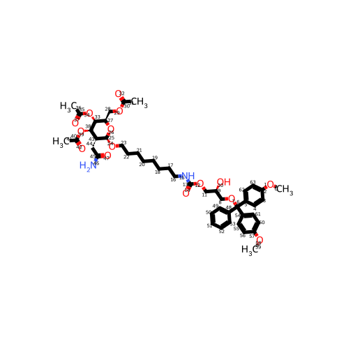 COc1ccc(C(OC[C@H](O)COC(=O)NCCCCCCCCO[C@@H]2O[C@H](COC(C)=O)[C@H](OC(C)=O)[C@H](OC(C)=O)[C@H]2CC(N)=O)(c2ccccc2)c2ccc(OC)cc2)cc1